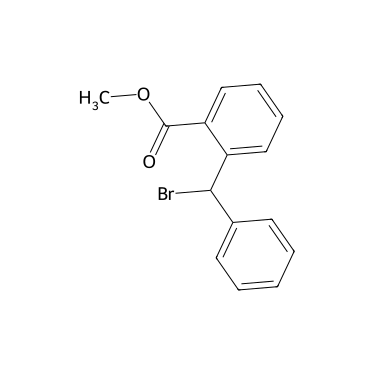 COC(=O)c1ccccc1C(Br)c1ccccc1